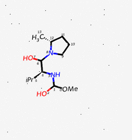 COC(O)N[C@@H](C(C)C)C(O)N1CCC[C@H]1C